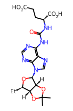 CC[C@H]1O[C@@H](n2cnc3c(NC(=O)N[C@@H](CCC(=O)O)C(=O)O)ncnc32)[C@@H]2OC(C)(C)O[C@@H]21